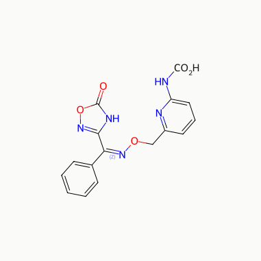 O=C(O)Nc1cccc(CO/N=C(/c2ccccc2)c2noc(=O)[nH]2)n1